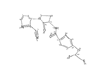 N#Cc1ncccc1N1CCC(NC(=O)c2ccc(OC(F)F)cc2)C1=O